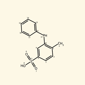 Cc1ccc(S(=O)(=O)O)cc1Pc1ccccc1